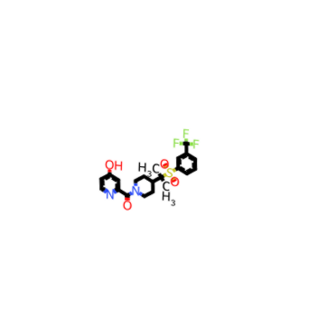 CC(C)(C1CCN(C(=O)c2cc(O)ccn2)CC1)S(=O)(=O)c1cccc(C(F)(F)F)c1